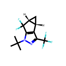 CC(C)(C)n1nc(C(F)(F)F)c2c1C(F)(F)[C@@H]1C[C@H]21